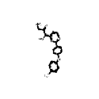 NCC(=O)[C@H](O)c1ccnc(-c2ccc(Oc3ccc(C(F)(F)F)cc3)cc2)n1